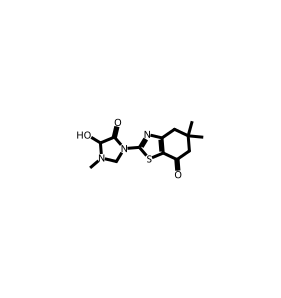 CN1CN(c2nc3c(s2)C(=O)CC(C)(C)C3)C(=O)C1O